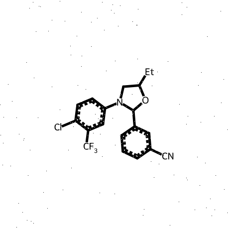 CCC1CN(c2ccc(Cl)c(C(F)(F)F)c2)C(c2cccc(C#N)c2)O1